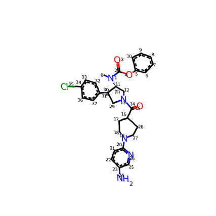 CN(C(=O)Oc1ccccc1)[C@@H]1CN(C(=O)C2CCN(c3ccc(N)cn3)CC2)C[C@H]1c1ccc(Cl)cc1